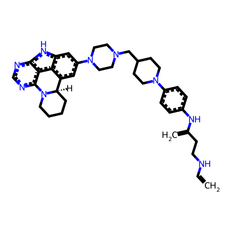 C=CNCCC(=C)Nc1ccc(N2CCC(CN3CCN(c4cc5c6c(c4)[nH]c4ncnc(c46)N4CCCC[C@H]54)CC3)CC2)cc1